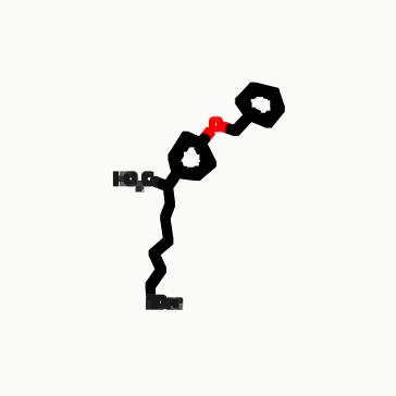 CCCCCCCCCCCCCCCCC(C(=O)O)c1ccc(OCc2ccccc2)cc1